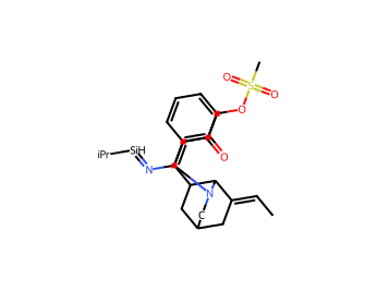 C/C=C1\CC2CC(/C(=C\C(=O)COS(C)(=O)=O)N=[SiH]C(C)C)C1N(Cc1ccccc1)C2